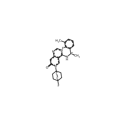 Cc1cccc([C@@H](C)Nc2ncnc3cc(=O)n(C45CCC(F)(CC4)CC5)cc23)c1F